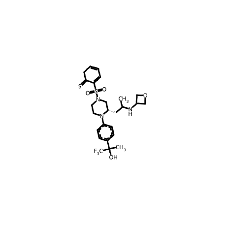 CC(C[C@H]1CN(S(=O)(=O)C2=CC=CCC2=S)CCN1c1ccc(C(C)(O)C(F)(F)F)cc1)NC1COC1